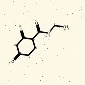 CCOC(=O)C1CCC(=O)CC1=O